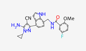 COc1ccc(F)cc1C(=O)NCc1ccc(-c2nn(C3CC3)c(N)c2C#N)c2cc[nH]c12